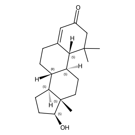 CC1(C)CC(=O)C=C2CC[C@@H]3[C@H](CC[C@]4(C)[C@@H](O)CC[C@@H]34)[C@H]21